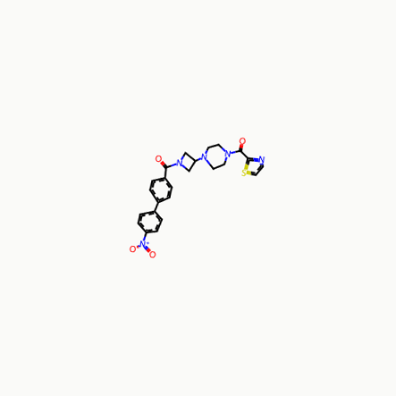 O=C(c1ccc(-c2ccc([N+](=O)[O-])cc2)cc1)N1CC(N2CCN(C(=O)c3nccs3)CC2)C1